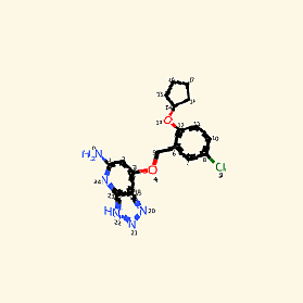 Nc1cc(OCc2cc(Cl)ccc2OC2CCCC2)c2nn[nH]c2n1